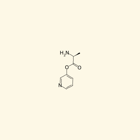 C[C@H](N)C(=O)Oc1cccnc1